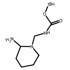 CC(C)(C)OC(=O)NCN1CCCCC1N